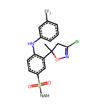 CNS(=O)(=O)c1ccc(Nc2cccc(C(F)(F)F)c2)c(C2(C)CC(Br)=NO2)c1